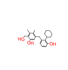 Cc1c(Cc2cccc(O)c2C2CCCCC2)cc(O)c(CO)c1C